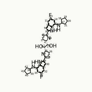 OC(C(O)[C@@H]1CSC(c2cc3cc(F)cc(NC4CCCC4)c3[nH]2)=N1)[C@@H]1CSC(c2cc3cc(F)cc(NC4CCCC4)c3[nH]2)=N1